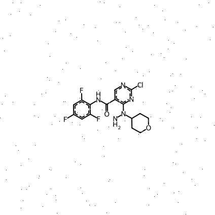 NN(c1nc(Cl)ncc1C(=O)Nc1c(F)cc(F)cc1F)C1CCOCC1